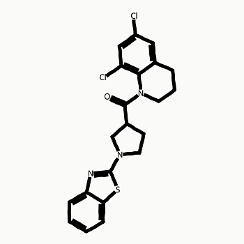 O=C(C1CCN(c2nc3ccccc3s2)C1)N1CCCc2cc(Cl)cc(Cl)c21